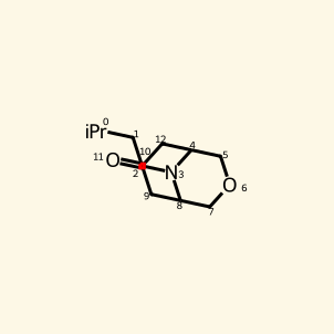 CC(C)CCN1C2COCC1CC(=O)C2